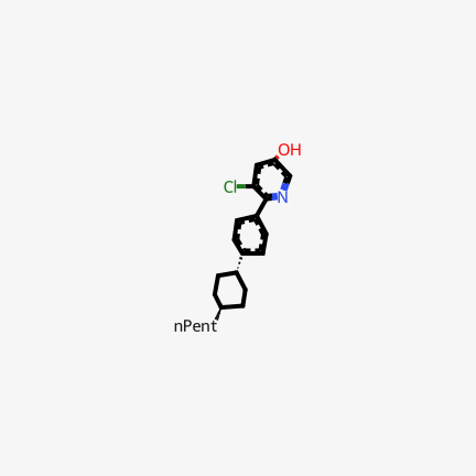 CCCCC[C@H]1CC[C@H](c2ccc(-c3ncc(O)cc3Cl)cc2)CC1